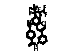 C=C(Nc1cccc(/C(=C/C)Cc2c(Cl)cc(C(F)(C(C)(F)F)C(F)(F)C(F)F)cc2Cl)c1)c1ccc(C#N)cc1